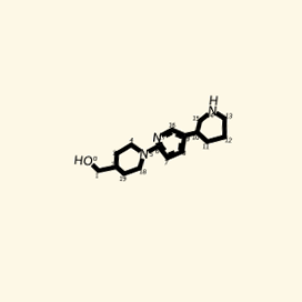 OCC1CCN(c2ccc(C3CCCNC3)cn2)CC1